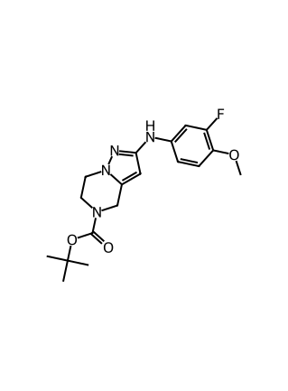 COc1ccc(Nc2cc3n(n2)CCN(C(=O)OC(C)(C)C)C3)cc1F